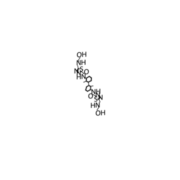 Cc1c(NC(=O)c2nnc(CNCCO)s2)cccc1-c1cccc(NC(=O)c2nnc(CNCCO)s2)c1C